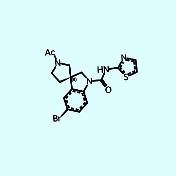 CC(=O)N1CC[C@@]2(C1)CN(C(=O)Nc1nccs1)c1ccc(Br)cc12